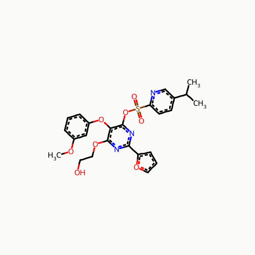 COc1cccc(Oc2c(OCCO)nc(-c3ccco3)nc2OS(=O)(=O)c2ccc(C(C)C)cn2)c1